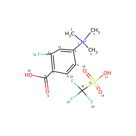 C[N+](C)(C)c1ccc(C(=O)O)c(F)c1.O=S(=O)(O)C(F)(F)F